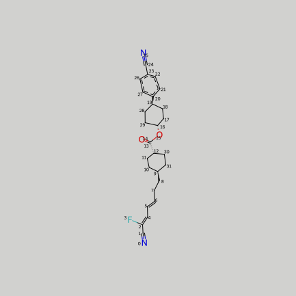 N#CC(F)=CC=CCC[C@H]1CC[C@H](C(=O)O[C@H]2CC[C@H](c3ccc(C#N)cc3)CC2)CC1